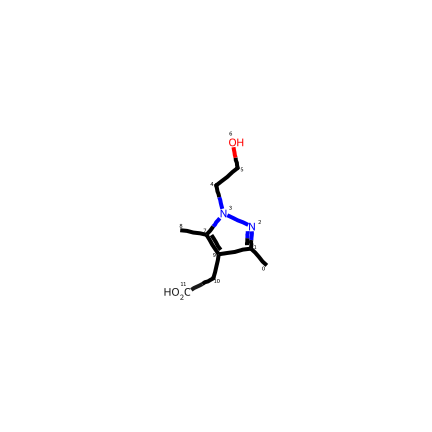 Cc1nn(CCO)c(C)c1CC(=O)O